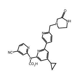 N#Cc1ccnc(N(C(=O)O)c2cc(C3CC3)cc(-c3ccc(CN4CCNC(=O)C4)nc3)n2)c1